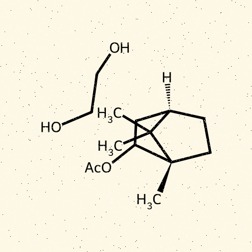 CC(=O)OC1C[C@H]2CC[C@@]1(C)C2(C)C.OCCO